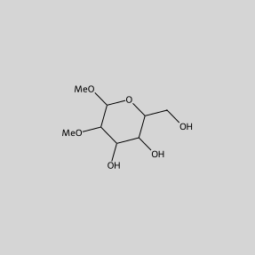 COC1OC(CO)C(O)C(O)C1OC